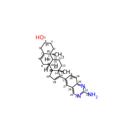 C[C@]12CC[C@@H](O)CC1=CC[C@@H]1[C@@H]2CC[C@]2(C)C(c3ccc4nc(N)ncc4c3)=CC[C@@H]12